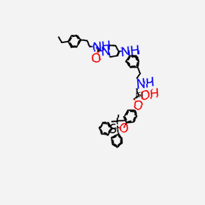 CCc1ccc(CCNC(=O)N2CCC(Nc3ccc(CCNC[C@H](O)COc4ccc(O[Si](c5ccccc5)(c5ccccc5)C(C)(C)C)cc4)cc3)CC2)cc1